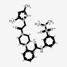 Cc1cc(C)n(CC(=O)N2CCN(c3ccccc3C(=O)Nc3cccc(S(=O)(=O)N(C)C)c3)CC2)n1